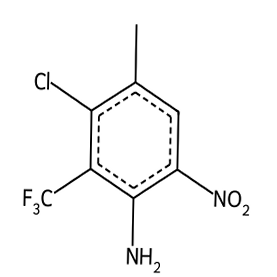 Cc1cc([N+](=O)[O-])c(N)c(C(F)(F)F)c1Cl